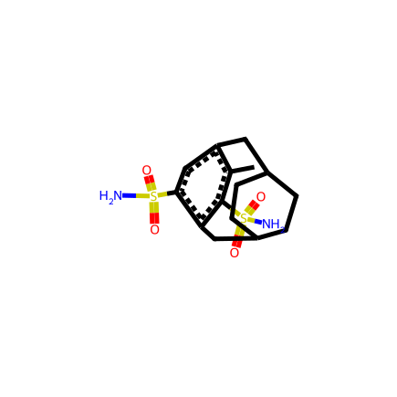 Cc1c2cc(S(N)(=O)=O)c(c1S(N)(=O)=O)CC1CCC(CC1)C2